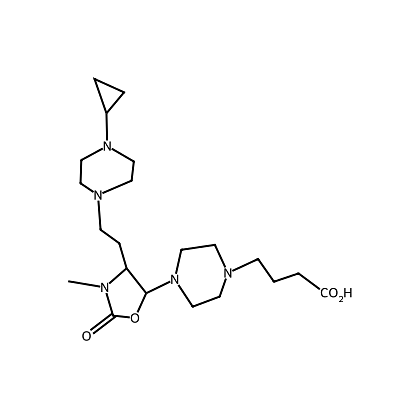 CN1C(=O)OC(N2CCN(CCCC(=O)O)CC2)C1CCN1CCN(C2CC2)CC1